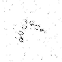 Cc1cncn1-c1ccc(-c2ccc(C(=O)c3csc(-c4ccc(N)cc4)n3)cc2)o1